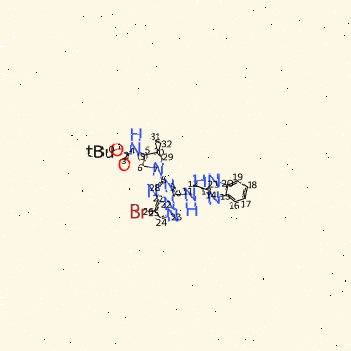 CC(C)(C)OC(=O)N[C@@H]1CN(c2nc(NCc3nc4ccccc4[nH]3)n3ncc(Br)c3n2)CC12CC2